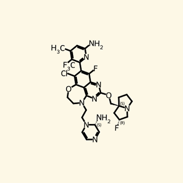 Cc1cc(N)nc(-c2c(Cl)c3c4c(nc(OC[C@@]56CCCN5C[C@H](F)C6)nc4c2F)N(CCN2C=CN=C[C@H]2N)CCO3)c1C(F)(F)F